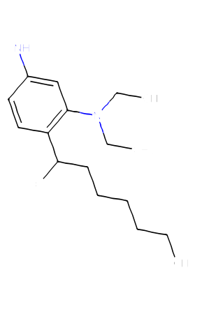 CCCCCCC(C)c1ccc(N)cc1N(CC)CC